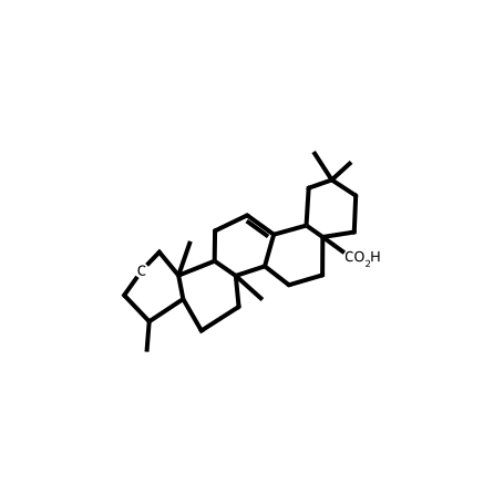 CC1CCCC2(C)C1CCC1(C)C3CCC4(C(=O)O)CCC(C)(C)CC4C3=CCC12